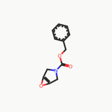 O=C(OCc1ccccc1)N1CC2=C(C1)O2